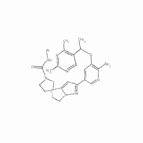 Cc1ncc(C(C)Oc2cc(-c3cc4n(n3)CC[C@@]43CCN(C(=O)NC(C)C)C3)cnc2N)c(C)n1